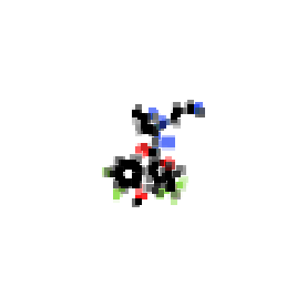 COc1c([C@H]2[C@H](C(=O)Nc3cc(C)nn3CCC#N)O[C@@](C)(C(F)(F)F)[C@H]2C)ccc(F)c1F